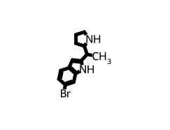 CC(c1cc2ccc(Br)cc2[nH]1)C1CCCN1